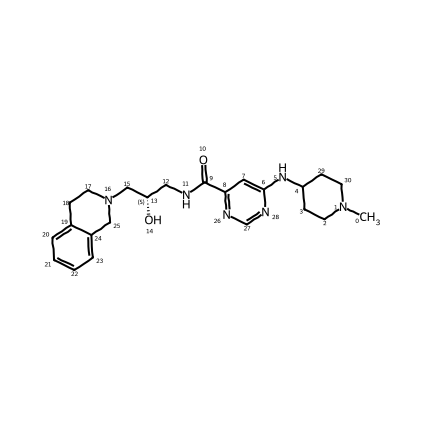 CN1CCC(Nc2cc(C(=O)NC[C@H](O)CN3CCc4ccccc4C3)ncn2)CC1